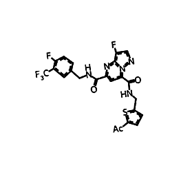 CC(=O)c1ccc(CNC(=O)c2cc(C(=O)NCc3ccc(F)c(C(F)(F)F)c3)nc3c(F)cnn23)s1